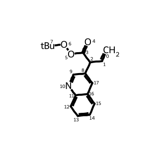 C=CC(C(=O)OOC(C)(C)C)c1cnc2ccccc2c1